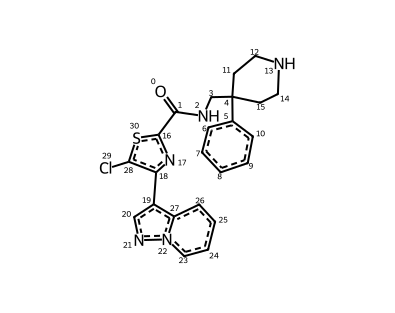 O=C(NCC1(c2ccccc2)CCNCC1)c1nc(-c2cnn3ccccc23)c(Cl)s1